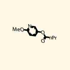 CCCC(=O)Oc1ccc(OC)nc1